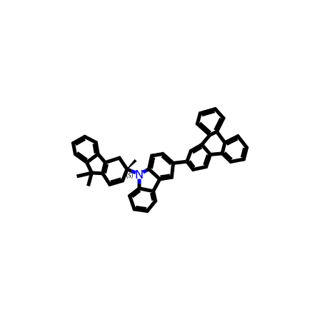 CC1(C)C2=C(C[C@](C)(n3c4ccccc4c4cc(-c5ccc6c7ccccc7c7ccccc7c6c5)ccc43)C=C2)c2ccccc21